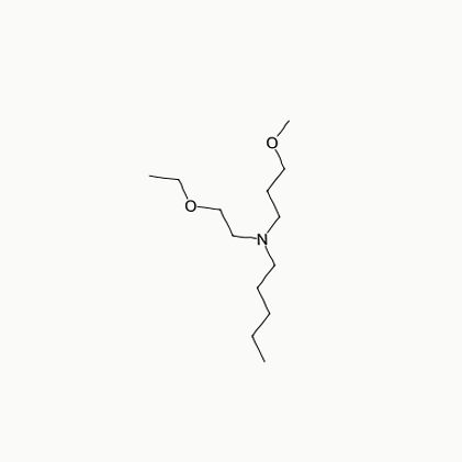 CCCCCN(CCCOC)CCOCC